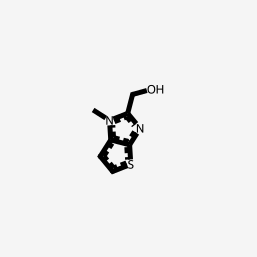 Cn1c(CO)nc2sccc21